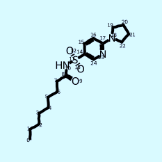 CCCCCCCCC(=O)NS(=O)(=O)c1ccc(N2CCCC2)nc1